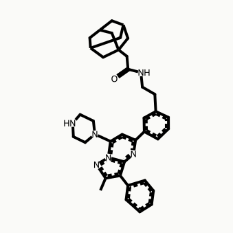 Cc1nn2c(N3CCNCC3)cc(-c3cccc(CCNC(=O)CC45CC6CC(CC(C6)C4)C5)c3)nc2c1-c1ccccc1